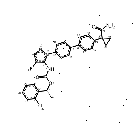 C[C@@H](OC(=O)Nc1c(F)cnn1-c1ccc(-c2ccc(C3(C(N)=O)CC3)cc2)cc1)c1ccccc1Cl